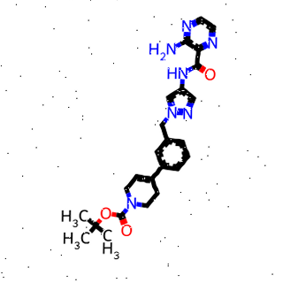 CC(C)(C)OC(=O)N1CC=C(c2cccc(Cn3cc(NC(=O)c4nccnc4N)cn3)c2)CC1